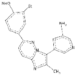 CCc1cc(-c2ccc3nc(C)c(-c4cncc(N)c4)n3n2)ccc1OC